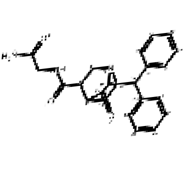 NC(=O)CNC(=O)C1CN2CCC1C(=O)C2C(c1ccccc1)c1ccccc1